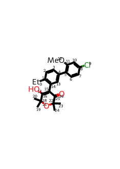 CCc1ccc(-c2ccc(Cl)cc2OC)cc1C1=C(O)C(C)(C)OC(C)(C)C1=O